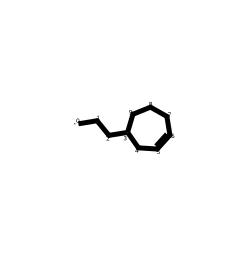 [CH2]CCC1CC=CCCC1